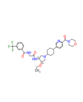 CCO[C@@H]1CN(C2CCC(c3ccc(C(=O)N4CCOCC4)nc3)CC2)C[C@@H]1NC(=O)CNC(=O)c1cccc(C(F)(F)F)c1